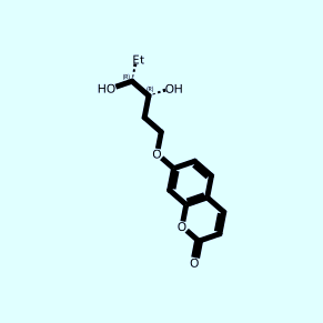 CC[C@@H](O)[C@H](O)CCOc1ccc2ccc(=O)oc2c1